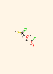 O=C(Cl)COCC(=S)Cl